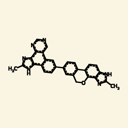 Cc1nc2c3c(ccc2[nH]1)-c1ccc(-c2ccc4c(c2)c2cncnc2c2nc(C)[nH]c42)cc1CO3